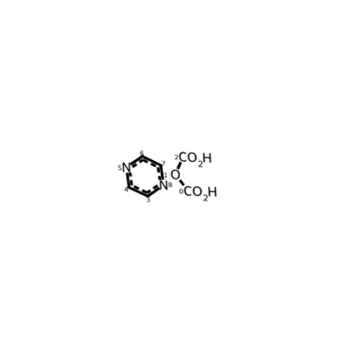 O=C(O)OC(=O)O.c1cnccn1